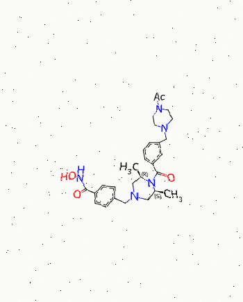 CC(=O)N1CCN(Cc2cccc(C(=O)N3[C@H](C)CN(Cc4ccc(C(=O)NO)cc4)C[C@@H]3C)c2)CC1